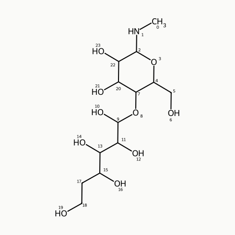 CNC1OC(CO)C(OC(O)C(O)C(O)C(O)CCO)C(O)C1O